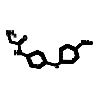 CSc1ccc(Sc2ccc(NC(=O)CN)cc2)cc1